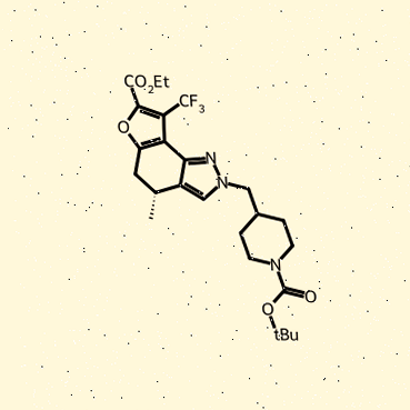 CCOC(=O)c1oc2c(c1C(F)(F)F)-c1nn(CC3CCN(C(=O)OC(C)(C)C)CC3)cc1[C@H](C)C2